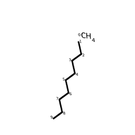 C.CCCCCCCCC